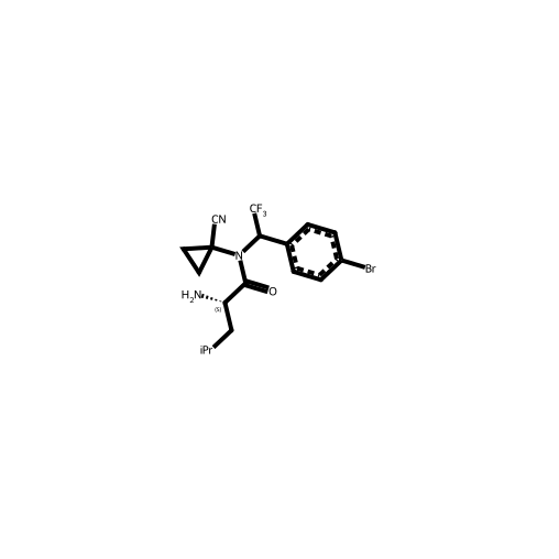 CC(C)C[C@H](N)C(=O)N(C(c1ccc(Br)cc1)C(F)(F)F)C1(C#N)CC1